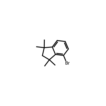 CC1(C)CC(C)(C)c2c(Br)cccc21